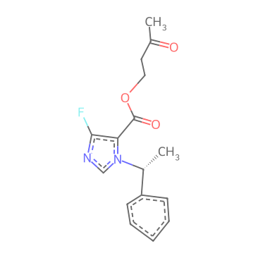 CC(=O)CCOC(=O)c1c(F)ncn1[C@H](C)c1ccccc1